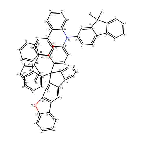 CC1(C)c2ccccc2-c2ccc(N(c3ccc4c(c3)-c3ccccc3-c3ccccc3C43c4ccccc4-c4cc5c(cc43)oc3ccccc35)c3ccccc3-c3ccc(-c4ccccc4)cc3)cc21